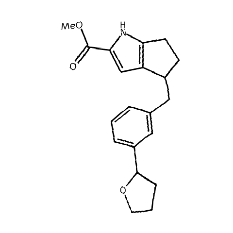 COC(=O)c1cc2c([nH]1)CCC2Cc1cccc(C2CCCO2)c1